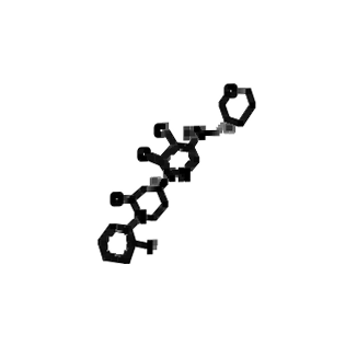 O=C1C[C@@H](n2ncc(NC[C@H]3CCCOC3)c(Cl)c2=O)CCN1c1ccccc1F